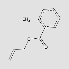 C.C=CCOC(=O)c1ccccc1